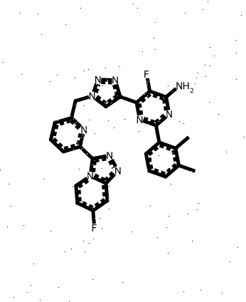 Cc1cccc(-c2nc(N)c(F)c(-c3cn(Cc4cccc(-c5nnc6cc(F)ccn56)n4)nn3)n2)c1C